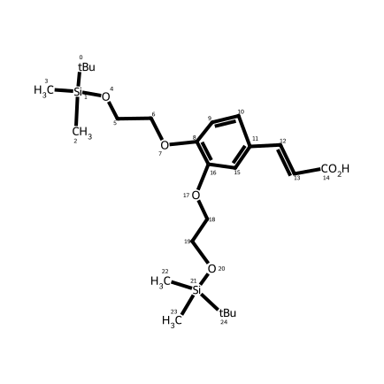 CC(C)(C)[Si](C)(C)OCCOc1ccc(/C=C/C(=O)O)cc1OCCO[Si](C)(C)C(C)(C)C